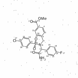 COC(=O)c1ccc(CN(C(C(N)=O)c2ccc(F)cc2)S(=O)(=O)c2ccc(Cl)cc2)cc1